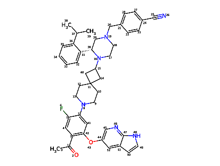 CC(=O)c1cc(F)c(N2CCC3(CC2)CC(N2CCN(Cc4ccc(C#N)cc4)C[C@H]2c2ccccc2C(C)C)C3)cc1Oc1cnc2[nH]ccc2c1